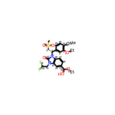 CCOc1cc([C@@H](CS(C)(=O)=O)n2c(=O)n(CC(F)F)c3cc(C(O)OCC)ccc32)ccc1OC